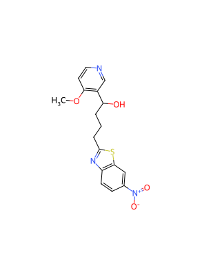 COc1ccncc1C(O)CCCc1nc2ccc([N+](=O)[O-])cc2s1